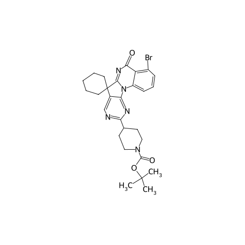 CC(C)(C)OC(=O)N1CCC(c2ncc3c(n2)-n2c(nc(=O)c4c(Br)cccc42)C32CCCCC2)CC1